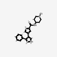 CCN1CCC(NC(=O)c2cc(-c3c[nH]nc3-c3ccccc3)cs2)CC1